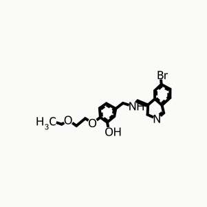 CCOCCOc1ccc(CNC=C2CN=Cc3ccc(Br)cc32)cc1O